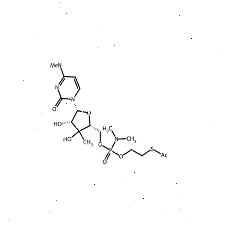 CNc1ccn([C@@H]2O[C@H](COP(=O)(OCCSC(C)=O)N(C)C)C(C)(O)[C@@H]2O)c(=O)n1